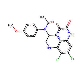 COc1ccc(N(C(C)=O)C2CNc3c(Cl)c(Cl)cc4[nH]c(=O)c(=O)n2c34)cc1